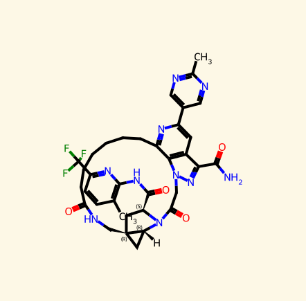 Cc1ncc(-c2cc3c(C(N)=O)nn4c3c(n2)CCCCCCC(=O)NC[C@@]23C[C@@H](C(=O)Nc5nc(C(F)(F)F)ccc5C)N(C(=O)C4)[C@@H]2C3)cn1